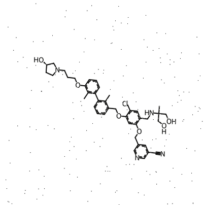 Cc1c(COc2cc(OCc3cncc(C#N)c3)c(CNC(C)(CO)CO)cc2Cl)cccc1-c1cccc(OCCCN2CC[C@@H](O)C2)c1C